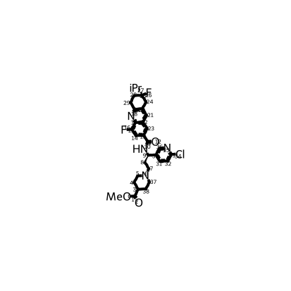 COC(=O)C1CCN(CC[C@@H](NC(=O)c2cc(F)c3nc4c(cc3c2)C[C@](F)(C(C)C)CC4)c2ccc(Cl)nc2)CC1